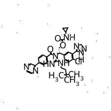 CC(C)(C)CCNC(=N)N(C(=O)c1ccc(-c2cnccn2)cc1)[C@H](COC(=O)NC1CC1)c1ccc(Cl)c(-c2ncn[nH]2)c1